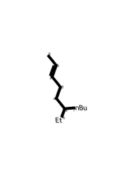 C/C=C/CCC(CC)CCCC